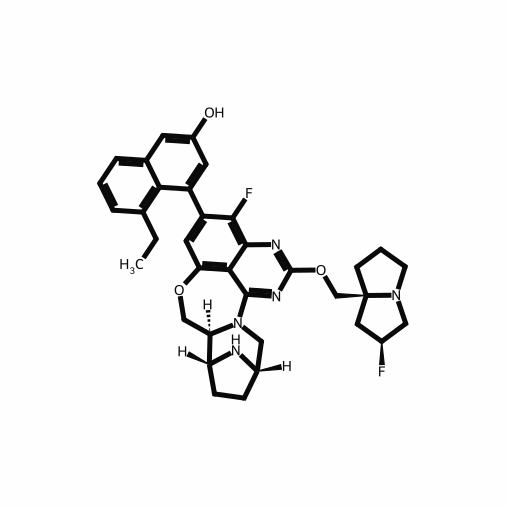 CCc1cccc2cc(O)cc(-c3cc4c5c(nc(OC[C@@]67CCCN6C[C@@H](F)C7)nc5c3F)N3C[C@@H]5CC[C@@H](N5)[C@H]3CO4)c12